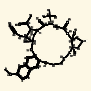 COc1ccc2nc3c(nc2c1)O[C@H]1CN(C(=O)[C@H](C(C)(C)C)NC(=O)O[C@@H]2CCC[C@H]2CCCCC3)[C@H](C(C)=O)[C@@H]1CC#N